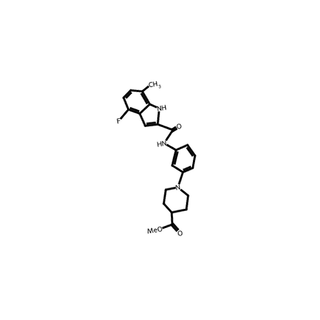 COC(=O)C1CCN(c2cccc(NC(=O)c3cc4c(F)ccc(C)c4[nH]3)c2)CC1